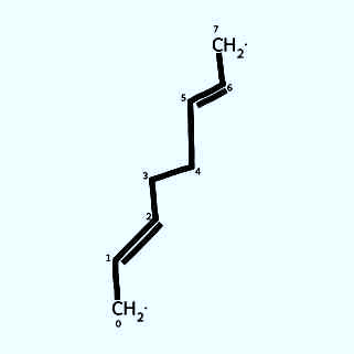 [CH2]C=CCCC=C[CH2]